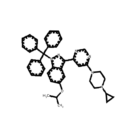 CC(C)Oc1ccc2c(c1)c(-c1cc(N3CCN(C4CC4)CC3)ncn1)nn2C(c1ccccc1)(c1ccccc1)c1ccccc1